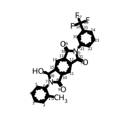 Cc1ccccc1N1C(=O)c2cc3c(cc2C1O)C(=O)N(c1cccc(C(F)(F)F)c1)C3=O